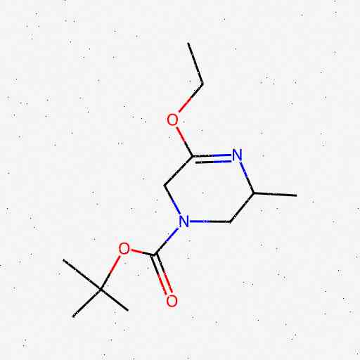 CCOC1=NC(C)CN(C(=O)OC(C)(C)C)C1